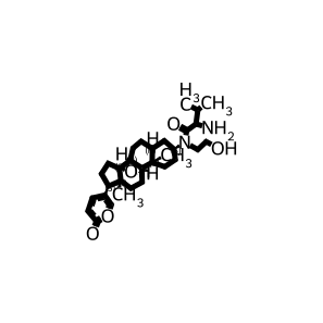 CC(C)C(N)C(=O)N(CCO)[C@H]1CC[C@@]2(C)[C@H](CC[C@@H]3[C@@H]2CC[C@]2(C)[C@@H](c4ccc(=O)oc4)CC[C@]32O)C1